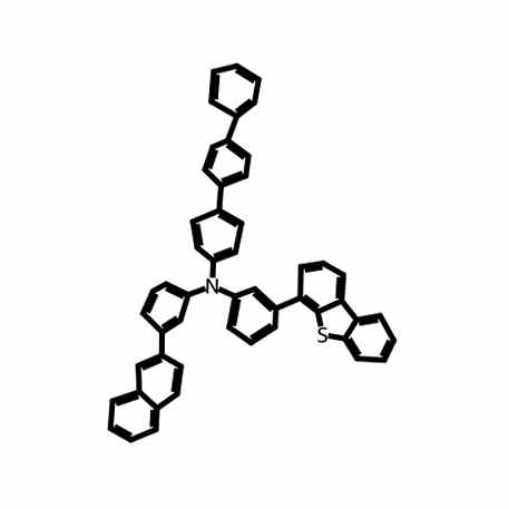 c1ccc(-c2ccc(-c3ccc(N(c4cccc(-c5ccc6ccccc6c5)c4)c4cccc(-c5cccc6c5sc5ccccc56)c4)cc3)cc2)cc1